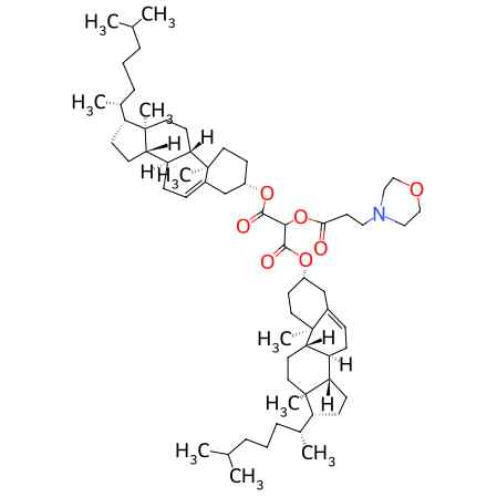 CC(C)CCC[C@@H](C)[C@H]1CC[C@H]2[C@@H]3CC=C4C[C@@H](OC(=O)C(OC(=O)CCN5CCOCC5)C(=O)O[C@H]5CC[C@@]6(C)C(=CC[C@H]7[C@@H]8CC[C@H]([C@H](C)CCCC(C)C)[C@@]8(C)CC[C@@H]76)C5)CC[C@]4(C)[C@H]3CC[C@]12C